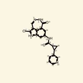 O=C1NN=Cc2c(Cl)[nH]c3cc(NC(=O)C4CC4c4cccnc4)cc1c23